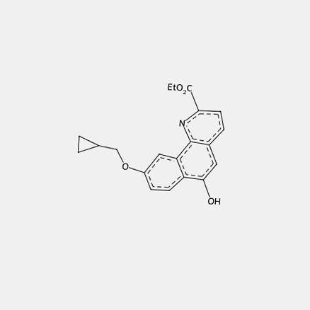 CCOC(=O)c1ccc2cc(O)c3ccc(OCC4CC4)cc3c2n1